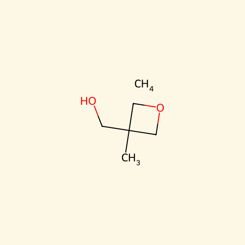 C.CC1(CO)COC1